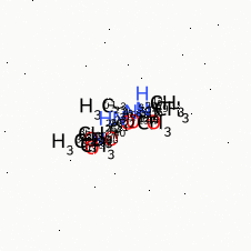 CCCCC(NC(=O)c1[nH]c2c(c1C)C(=O)CC(C)(C)C2)C(=O)Nc1ccc(OC2CN(C(=O)OC(C)(C)C)C2)cc1